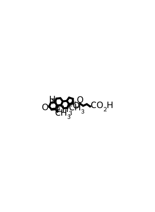 CC1=CC(=O)C[C@@H]2CCC3C4CC[C@H](OC(=O)CCCC(=O)O)[C@@]4(C)CCC3[C@@]12C